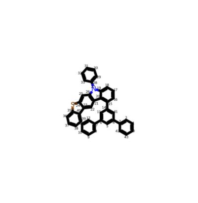 c1ccc(-c2cc(-c3ccccc3)cc(-c3cccc4c3c3cc5c(cc3n4-c3ccccc3)sc3ccccc35)c2)cc1